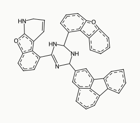 C1=Cc2c(oc3cccc(C4=NC(c5cc6c7c(cccc7c5)-c5ccccc5-6)NC(c5cccc6oc7ccccc7c56)N4)c23)NC1